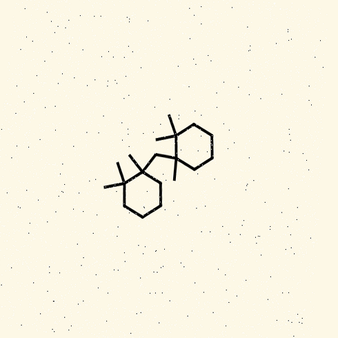 CC1(C)CCCCC1(C)CC1(C)CCCCC1(C)C